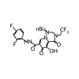 CCCCN1CN(CC(F)(F)F)C(=O)c2c(O)c(=O)c(C(=O)NCc3ccc(F)cc3F)cn21